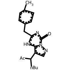 CCCCC(C(C)=O)c1cnn2c(=O)nc(Cc3ccc(C)cc3)[nH]c12